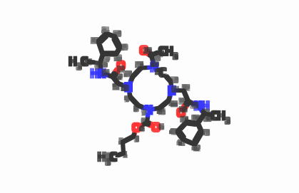 CCCCOC(=O)N1CCN(CC(=O)N[C@@H](C)c2ccccc2)CCN(C(C)=O)CCN(CC(=O)N[C@@H](C)c2ccccc2)CC1